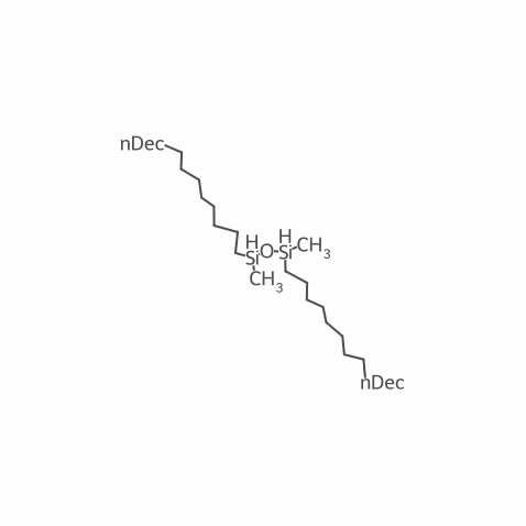 CCCCCCCCCCCCCCCCCC[SiH](C)O[SiH](C)CCCCCCCCCCCCCCCCCC